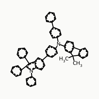 CC1(C)c2ccccc2-c2ccc(N(c3ccc(-c4ccccc4)cc3)c3ccc(-c4ccc5c(c4)c(-c4ccccc4)c(-c4ccccc4)n5-c4ccccc4)cc3)cc21